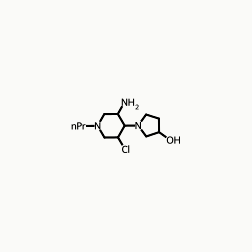 CCCN1CC(N)C(N2CCC(O)C2)C(Cl)C1